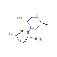 C[C@H]1CN(c2cc(F)ccc2C#N)CCN1.Cl